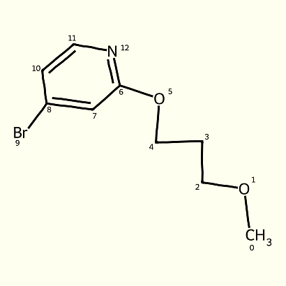 COCCCOc1cc(Br)ccn1